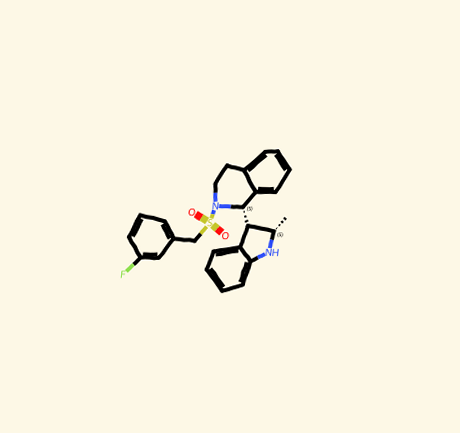 C[C@@H]1Nc2ccccc2C1[C@H]1c2ccccc2CCN1S(=O)(=O)Cc1cccc(F)c1